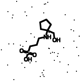 O=S(=O)(O)CCCNC1(CO)CCCC1